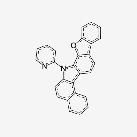 c1ccc(-n2c3ccc4ccccc4c3c3ccc4c5ccccc5oc4c32)nc1